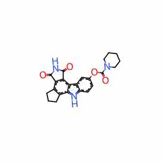 O=C1NC(=O)c2c1c1c(c3[nH]c4ccc(OC(=O)N5CCCCC5)cc4c23)CCC1